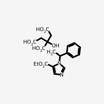 CCOC(=O)c1cncn1C(C)c1ccccc1.O=C(O)CC(O)(CC(=O)O)C(=O)O